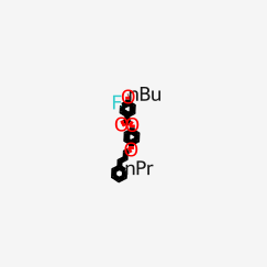 CCCCOc1ccc(C(=O)Oc2ccc(OCCCC3CCCCC3CCC)cc2)cc1F